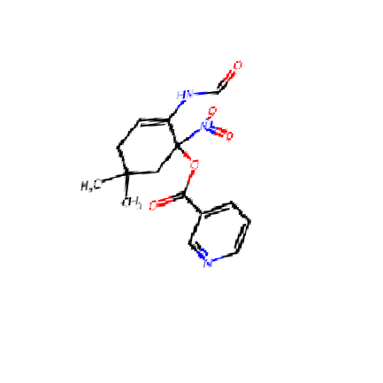 CC1(C)CC=C(NC=O)C(OC(=O)c2cccnc2)([N+](=O)[O-])C1